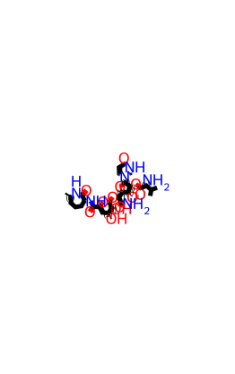 CO[C@H]1[C@@H](OC(=O)[C@H](N)C(C)C)[C@H](N2C=CC(=O)NC2)O[C@@H]1[C@@H](OC1OC(C(=O)NC2CCC[C@@H](C)NC2=O)=C[C@H](O)[C@@H]1O)C(N)=O